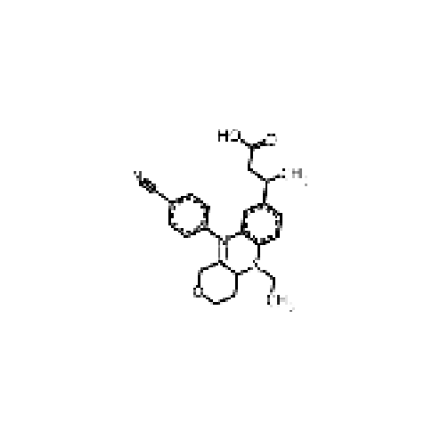 CCN(c1ccc(C(C)CC(=O)O)cc1Nc1ccc(C#N)cc1)C1CCOCC1